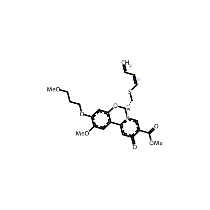 C=C/C=C\SC[C@H]1Oc2cc(OCCCOC)c(OC)cc2-c2cc(=O)c(C(=O)OC)cn21